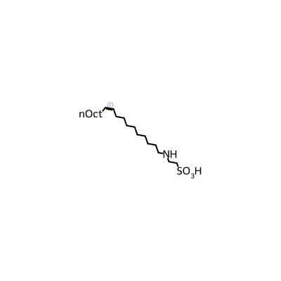 CCCCCCCC/C=C\CCCCCCCCCNCCS(=O)(=O)O